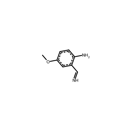 COc1ccc(N)c(C=N)c1